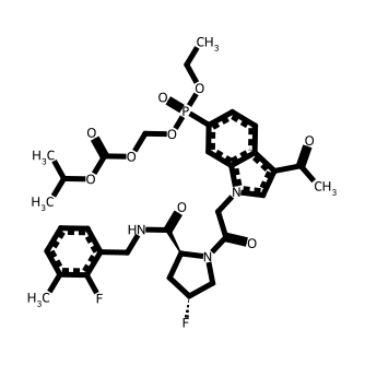 CCOP(=O)(OCOC(=O)OC(C)C)c1ccc2c(C(C)=O)cn(CC(=O)N3C[C@H](F)C[C@H]3C(=O)NCc3cccc(C)c3F)c2c1